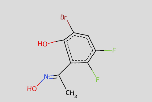 C/C(=N\O)c1c(O)c(Br)cc(F)c1F